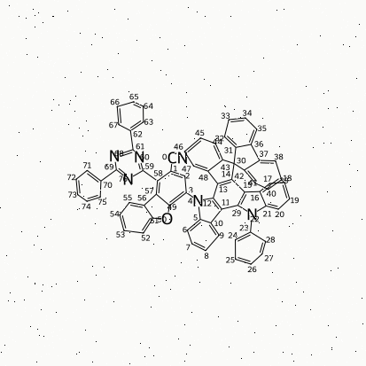 N#Cc1cc(-n2c3ccccc3c3c2c2c(c4c5ccccc5n(-c5ccccc5)c43)C3(c4ccccc4-c4ccccc43)c3ccccc3-2)c2oc3ccccc3c2c1-c1nc(-c2ccccc2)nc(-c2ccccc2)n1